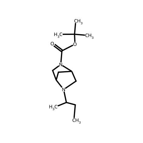 CCC(C)N1CC2CC1CN2C(=O)OC(C)(C)C